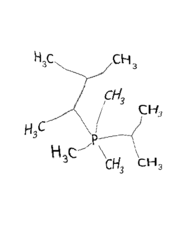 CC(C)C(C)P(C)(C)(C)C(C)C